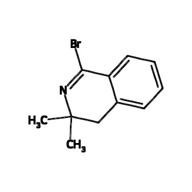 CC1(C)Cc2ccccc2C(Br)=N1